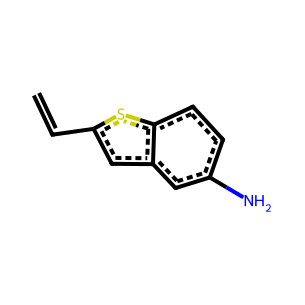 C=Cc1cc2cc(N)ccc2s1